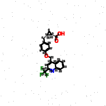 O=C(O)[C@H]1C[C@H]1Cc1ccc(OCc2cc(C(F)(F)F)nc3ccccc23)cc1